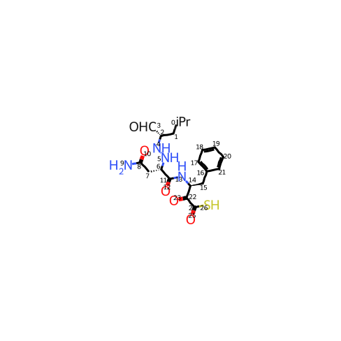 CC(C)C[C@@H](C=O)NN[C@@H](CC(N)=O)C(=O)N[C@@H](Cc1ccccc1)C(=O)C(=O)S